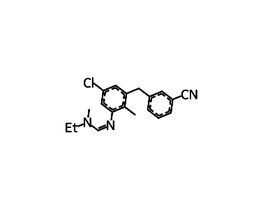 CCN(C)/C=N\c1cc(Cl)cc(Cc2cccc(C#N)c2)c1C